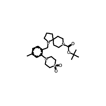 Cc1ccc(CN2CCCC23CCN(C(=O)OC(C)(C)C)CC3)c(N2CCS(=O)(=O)CC2)c1